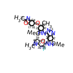 COc1cc2ncnc(Nc3cc(C)c(Oc4ccc5oc(C)nc5c4)cc3OC)c2cc1NC(=O)/C(F)=C\C1CCCN1C